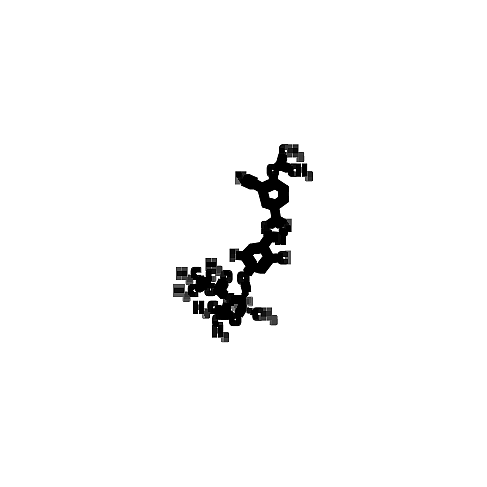 CC(C)Oc1ccc(-c2nnc(-c3cc(F)c(OC[C@@H]4[C@H](C)OC(C)(C)N4C(=O)OC(C)(C)C)cc3Cl)s2)cc1C#N